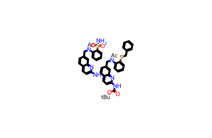 CC(=O)N(Cc1ccc2ccc(N)nc2c1)c1ccccc1S(N)(=O)=O.CC(=O)N(Cc1ccc2ccc(NC(=O)OC(C)(C)C)nc2c1)c1ccccc1SCc1ccccc1